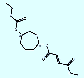 CCCC(=O)O[C@H]1CCC[C@@H](OC(=O)/C=C/C(=O)OC)OC1